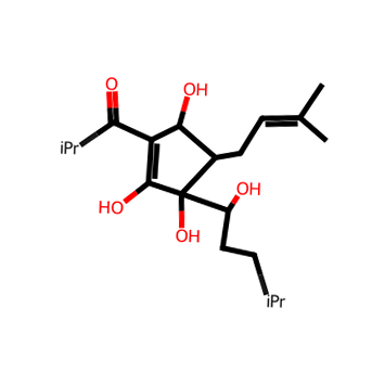 CC(C)=CCC1C(O)C(C(=O)C(C)C)=C(O)C1(O)C(O)CCC(C)C